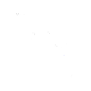 COc1ccc(-n2c3ccccc3c3cc(CNC(=O)/C=C/c4ccc(F)cc4)ncc32)cc1